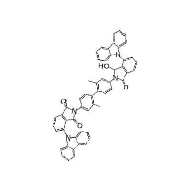 Cc1cc(N2C(=O)c3cccc(-n4c5ccccc5c5ccccc54)c3C2=O)ccc1-c1ccc(N2C(=O)c3cccc(-n4c5ccccc5c5ccccc54)c3C2O)cc1C